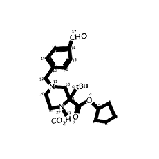 CC(C)(C)C1(C(=O)OC2CCCC2)CN(Cc2ccc(C=O)cc2)CCN1C(=O)O